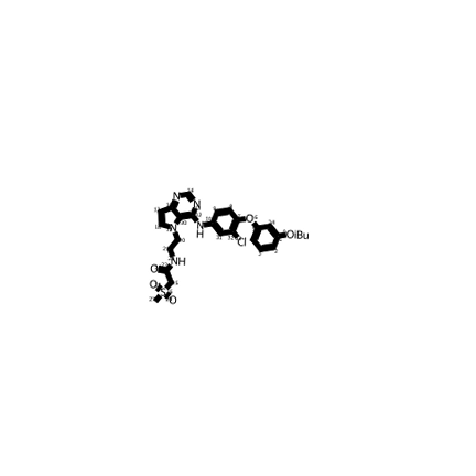 CC(C)COc1cccc(Oc2ccc(Nc3ncnc4ccn(CCNC(=O)CS(C)(=O)=O)c34)cc2Cl)c1